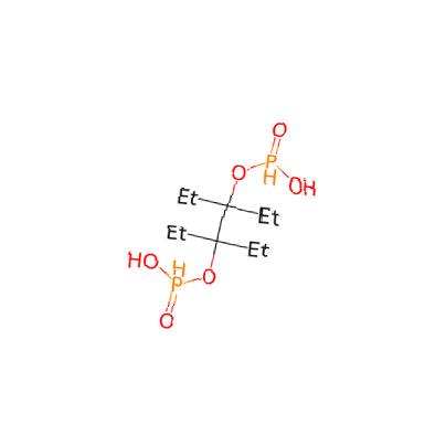 CCC(CC)(O[PH](=O)O)C(CC)(CC)O[PH](=O)O